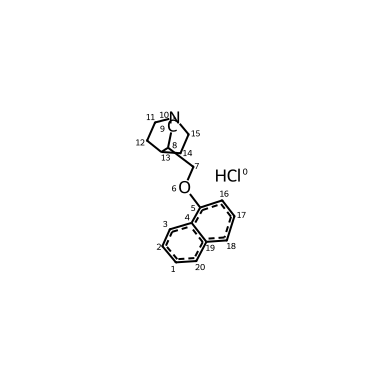 Cl.c1ccc2c(OCC3CN4CCC3CC4)cccc2c1